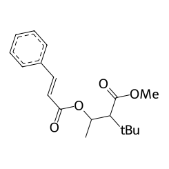 COC(=O)C(C(C)OC(=O)C=Cc1ccccc1)C(C)(C)C